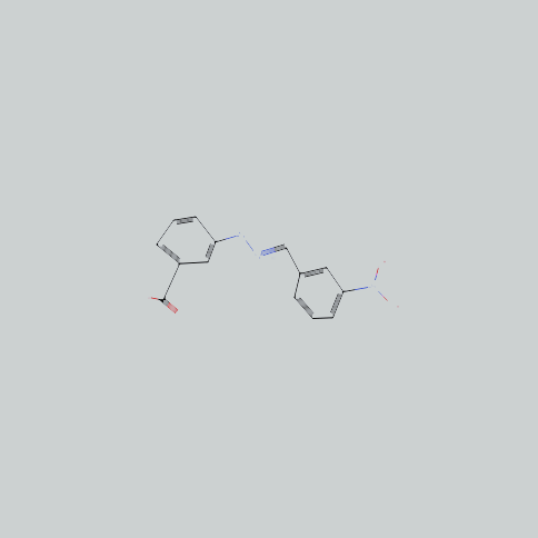 O=C(O)c1cccc(N/N=C/c2cccc(N(O)O)c2)c1